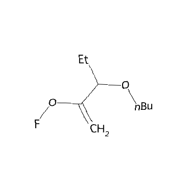 C=C(OF)C(CC)OCCCC